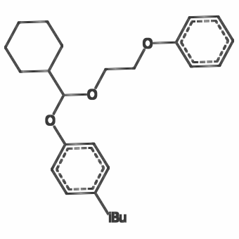 CCC(C)c1ccc(OC(OCCOc2ccccc2)C2CCCCC2)cc1